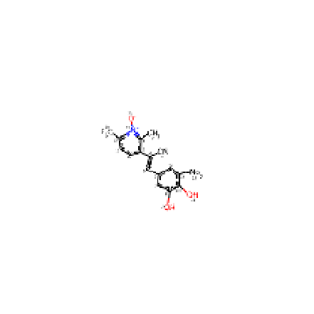 Cc1c(/C(C#N)=C/c2cc(O)c(O)c([N+](=O)[O-])c2)ccc(C(F)(F)F)[n+]1[O-]